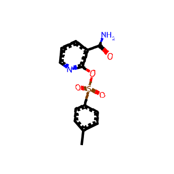 Cc1ccc(S(=O)(=O)Oc2ncccc2C(N)=O)cc1